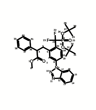 COC(=O)C(Cc1cc(-n2nnc3ccccc32)ccc1C(F)(F)P(=O)(OC(C)(C)C)OC(C)(C)C)c1ccccc1